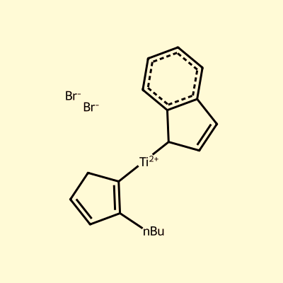 CCCCC1=[C]([Ti+2][CH]2C=Cc3ccccc32)CC=C1.[Br-].[Br-]